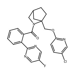 O=C(c1ccccc1-c1ncc(F)cn1)N1CC2CCC1(COc1ccc(Cl)cn1)C2